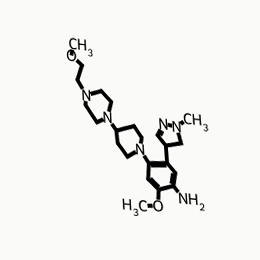 COCCN1CCN(C2CCN(c3cc(OC)c(N)cc3C3C=NN(C)C3)CC2)CC1